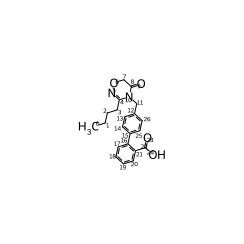 CCCCC1=NOCC(=O)N1Cc1ccc(-c2ccccc2C(=O)O)cc1